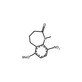 COc1ccc([N+](=O)[O-])c2c1CCCC(=O)N2C